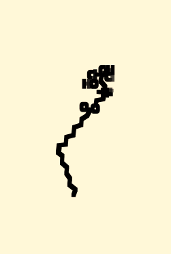 CCCCCCCC/C=C\CCCCCCCC(=O)OCC[N+](C)(C)C[C@H](O)C(O)(Cl)Cl